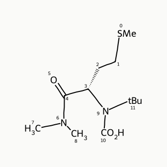 CSCC[C@@H](C(=O)N(C)C)N(C(=O)O)C(C)(C)C